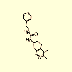 Cc1ncc2c(c1C)CCC(NC(=O)NCCc1ccccc1)C2